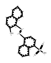 O=S(=O)(O)c1ccc(/N=N/c2c(O)ccc3ccccc23)c2ccccc12